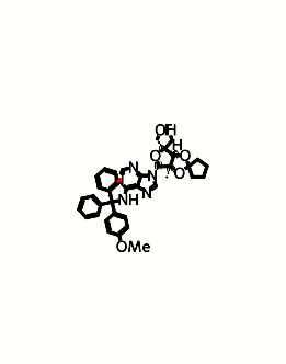 COc1ccc(C(Nc2ncnc3c2ncn3[C@@H]2O[C@@](CO)(CF)[C@H]3OC4(CCCC4)O[C@]32C)(c2ccccc2)c2ccccc2)cc1